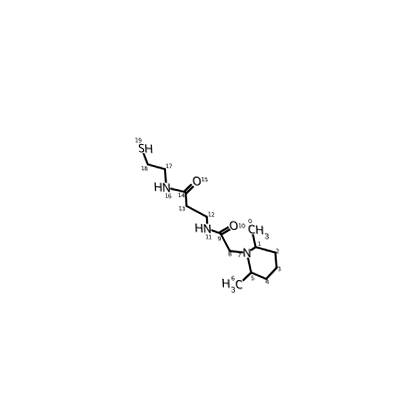 CC1CCCC(C)N1CC(=O)NCCC(=O)NCCS